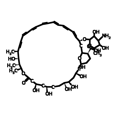 CC1OC(O[C@H]2/C=C/C=C/C=C/C=C/C=C/C=C/C=C/[C@H](C)[C@@H](O)[C@@H](C)[C@H](C)OC(=O)C[C@H](O)C[C@H](O)CC[C@@H](O)[C@H](O)C[C@H](O)C[C@]3(O)CC[C@@H](C(=O)O)C(C2)O3)C(O)C(N)C1O